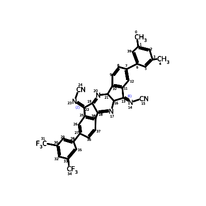 Cc1cc(C)cc(-c2ccc3c(c2)/C(=N\C#N)C2N=C4C(=NC32)/C(=N\C#N)c2cc(-c3cc(C(F)(F)F)cc(C(F)(F)F)c3)ccc24)c1